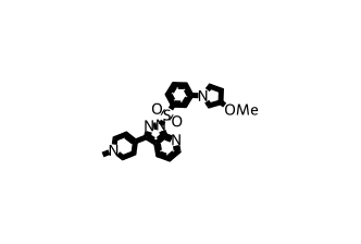 COC1CCN(c2cccc(S(=O)(=O)n3nc(C4=CCN(C)CC4)c4cccnc43)c2)C1